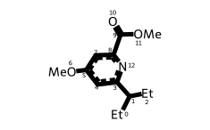 CCC(CC)c1cc(OC)cc(C(=O)OC)n1